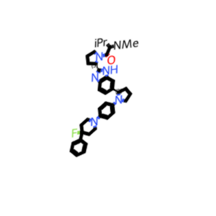 CNC(C(=O)N1CCC[C@H]1c1nc2ccc([C@H]3CCCN3c3ccc(N4CCC(F)(c5ccccc5)CC4)cc3)cc2[nH]1)C(C)C